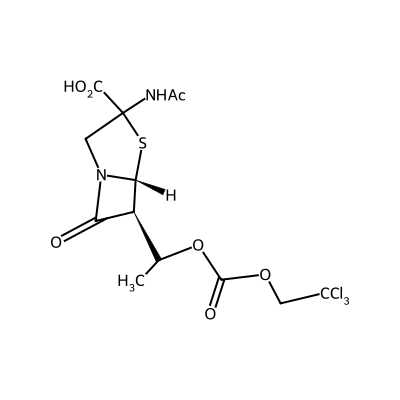 CC(=O)NC1(C(=O)O)CN2C(=O)[C@H](C(C)OC(=O)OCC(Cl)(Cl)Cl)[C@H]2S1